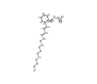 CCCCCCCCCCCC=CC=Cc1ccccc1OCC1CO1